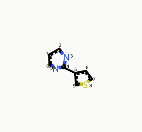 [c]1ccnc(-c2ccsc2)n1